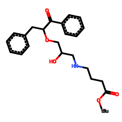 CC(C)(C)OC(=O)CCCNCC(O)COC(Cc1ccccc1)C(=O)c1ccccc1